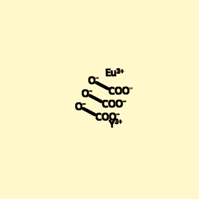 O=C([O-])[O-].O=C([O-])[O-].O=C([O-])[O-].[Eu+3].[Y+3]